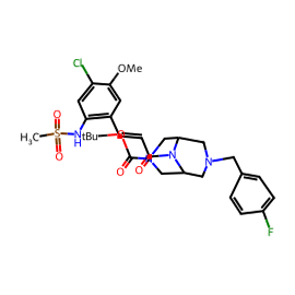 COc1cc(/C=C/C(=O)N2C3CN(Cc4ccc(F)cc4)CC2CN(C(=O)OC(C)(C)C)C3)c(NS(C)(=O)=O)cc1Cl